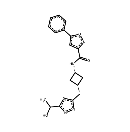 CC(O)c1nnc(C[C@H]2C[C@@H](NC(=O)c3cc(-c4ccccc4)on3)C2)s1